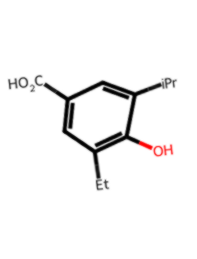 CCc1cc(C(=O)O)cc(C(C)C)c1O